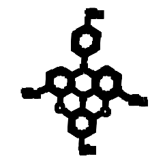 CC(C)(C)c1ccc(N2c3ccc(C(C)(C)C)c4c3B3c5c(cc(C(C)(C)C)cc5Oc5c(C(C)(C)C)ccc2c53)O4)cc1